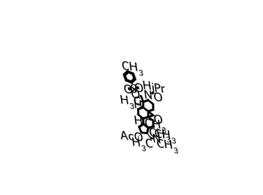 CC(=O)O[C@@H]1C[C@@]2(C)[C@@H]3CC[C@@H]4C5(CC[C@H](NC(=O)C(C)C)[C@@]4(C)COS(=O)(=O)c4ccc(C)cc4)CC35C(=O)C[C@]2(C)[C@H]1[C@H](C)N(C)C